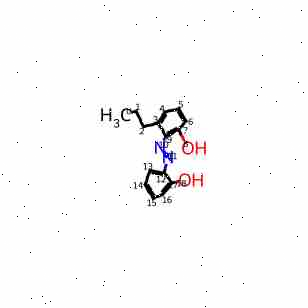 CCCc1cccc(O)c1N=Nc1ccccc1O